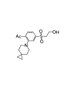 CC(=O)c1ccc(S(=O)(=O)CCO)cc1N1CCC2(CC1)CC2